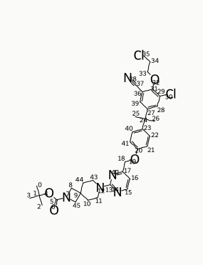 CC(C)(C)OC(=O)N1CC2(CCN(c3nccc(COc4ccc(C(C)(C)c5cc(Cl)c(OCCCl)c(C#N)c5)cc4)n3)CC2)C1